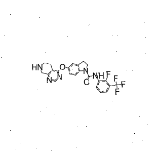 O=C(Nc1cccc(C(F)(F)F)c1F)N1CCc2cc(Oc3ncnc4c3CCNC4)ccc21